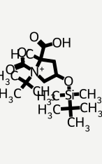 CC(C)(C)[N+]1(C(=O)[O-])CC(O[Si](C)(C)C(C)(C)C)CC1(C)C(=O)O